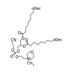 CCCCCCCCCCCCCCCCCC(=O)OCC(COP(=O)(OCCC#N)OCC[N+]1(C)CCOCC1)OC(=O)CCCCCCCCCCCCCCCCC